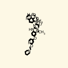 COc1cc(Oc2ccnc(OCCN3CCCCC3)c2)ccc1Nc1ncc(Cl)c(Nc2ccc3nccnc3c2P(OC)OC)n1